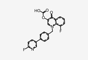 O=C(O)Oc1cn(Cc2ccc(-c3ccc(F)nc3)cc2)c2c(F)cccc2c1=O